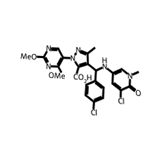 COc1ncc(-n2nc(C)c(C(Nc3cc(Cl)c(=O)n(C)c3)c3ccc(Cl)cc3)c2C(=O)O)c(OC)n1